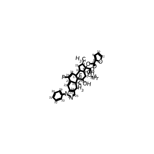 CC(C)OC(=O)[C@@]1(OC(=O)c2ccco2)[C@H](C)CC2C3C=C(F)C4=Cc5c(cnn5-c5ccccc5)C[C@]4(C)[C@@]3(F)C(O)C[C@@]21C